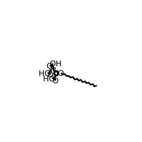 CCCCCCCCCCCCCCCCCCOc1cc(C(=O)O)cc(N(CC(=O)O)CC(=O)O)c1